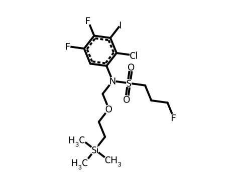 C[Si](C)(C)CCOCN(c1cc(F)c(F)c(I)c1Cl)S(=O)(=O)CCCF